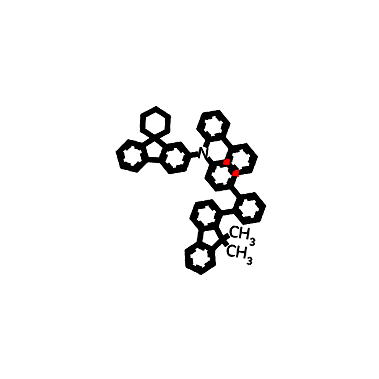 CC1(C)c2ccccc2-c2cccc(-c3ccccc3-c3ccc(N(c4ccc5c(c4)C4(CCCCC4)c4ccccc4-5)c4ccccc4-c4ccccc4)cc3)c21